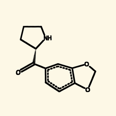 O=C(c1ccc2c(c1)OCO2)[C@@H]1CCCN1